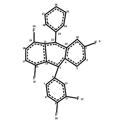 Fc1ccc2c(-c3ccc(F)c(F)c3)c3c(F)ccc(F)c3c(-c3ccccc3)c2c1